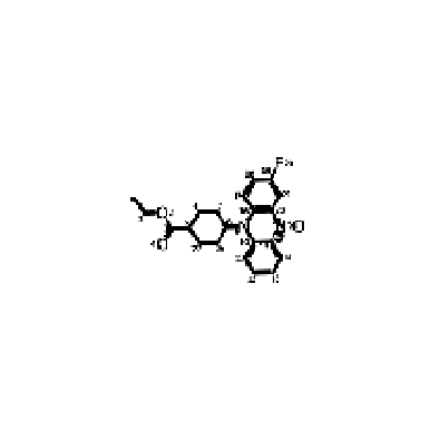 CCOC(=O)C1CCC(N(c2ccccc2)c2ccc(F)cc2[N+](=O)[O-])CC1